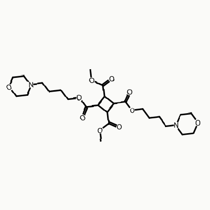 COC(=O)C1C(C(=O)OCCCCN2CCOCC2)C(C(=O)OC)C1C(=O)OCCCCN1CCOCC1